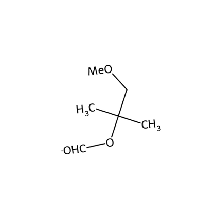 COCC(C)(C)O[C]=O